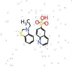 CCN1CSc2ccccc21.O=S(=O)(O)c1ccc2ncccc2c1